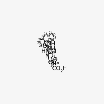 CN(CC(=O)O)S(=O)(=O)c1cnc(NNC(=O)NC2c3ccccc3CCc3ccccc32)c(Cl)c1